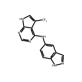 FC(F)(F)c1c[nH]c2ncnc(Nc3ccc4[nH]ncc4c3)c12